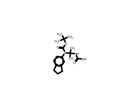 CC(C)(C)OC(=O)N(c1ccc2c(c1)CCC2)C(C)(C)NC(=O)O